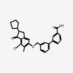 Cc1c(OCc2cccc(-c3cccc(C(=O)O)c3)c2)cc2c(c1Cl)C(=O)C(C1CCCC1)C2